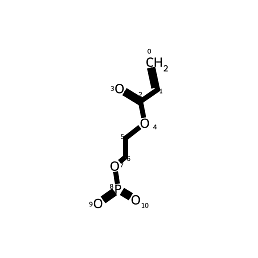 C=CC(=O)OCCOP(=O)=O